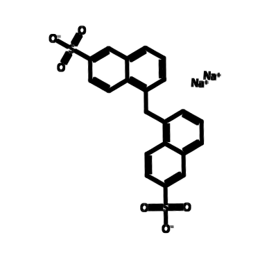 O=S(=O)([O-])c1ccc2c(Cc3cccc4cc(S(=O)(=O)[O-])ccc34)cccc2c1.[Na+].[Na+]